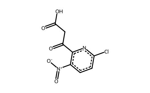 O=C(O)CC(=O)c1nc(Cl)ccc1[N+](=O)[O-]